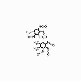 Cc1cc(N=C=O)c(N=C=O)c(C)c1N=C=O.Cc1cc(N=C=O)c(N=C=O)c(N=C=O)c1C